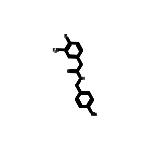 CC(C)(C)c1ccc(CNC(=O)Cc2ccc(F)c(C(F)(F)F)c2)cc1